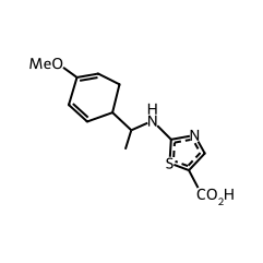 COC1=CCC(C(C)Nc2ncc(C(=O)O)s2)C=C1